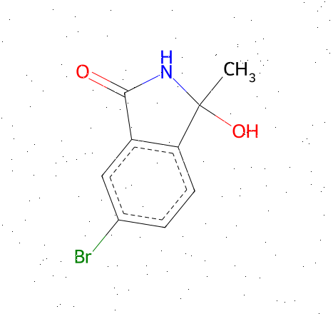 CC1(O)NC(=O)c2cc(Br)ccc21